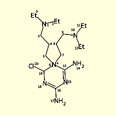 CCN(CC)CCC[N+]1(CCCN(CC)CC)C(N)=NC(N)=NC1Cl